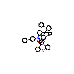 c1ccc(-c2ccc(N(c3ccc4c(c3)-c3ccccc3Oc3ccccc3-4)c3ccc4c(c3)C3(c5ccccc5-c5ccccc5-4)c4ccccc4-c4cc5ccccc5cc43)cc2)cc1